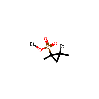 CCOS(=O)(=O)C1(C)CC1(C)CC